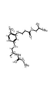 CCCCC(CC)COC(=O)CCSc1cc(OC[C@H](C)NC(=O)OC(C)(C)C)ncc1[N+](=O)[O-]